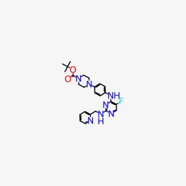 CC(C)(C)OC(=O)N1CCN(c2ccc(Nc3nc(NCc4ccccn4)ncc3F)cc2)CC1